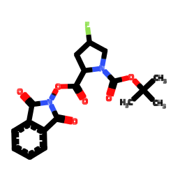 CC(C)(C)OC(=O)N1CC(F)CC1C(=O)ON1C(=O)c2ccccc2C1=O